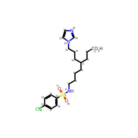 O=C(O)CCC(CCCCNS(=O)(=O)c1ccc(Cl)cc1)CCCn1ccnc1